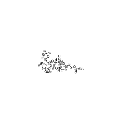 CO[Si](CC(C)C)(CC(C)C)O[C@@H]1[C@@H]2O[C@H]3CC[C@H](CCOC(=O)C(C)(C)C)O[C@@H]3[C@@H](O)[C@@H]2O[C@@H]1CC1COC(C)(C)O1